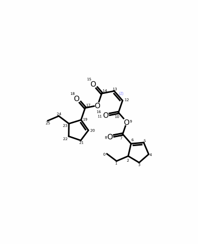 CCC1CCC=C1C(=O)OC(=O)/C=C\C(=O)OC(=O)C1=CCCC1CC